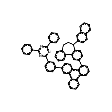 c1ccc(-c2nc(-c3ccccc3)nc(-c3cccc(-c4ccc5c(c4)c4ccccc4c4cccc(-c6ccc7c(c6)-c6ccccc6CCC7c6ccc7ccccc7c6)c45)c3)n2)cc1